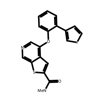 CNC(=O)c1cc2c(Oc3ccccc3C3=C[I]C=C3)cncc2s1